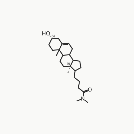 CN(C)C(=O)CCCC1CCC2C3CC=C4C[C@@H](O)CCC4(C)C3CC[C@]12C